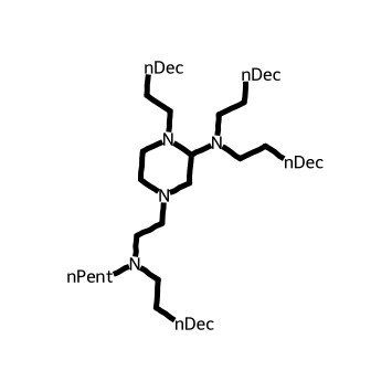 CCCCCCCCCCCCN(CCCCC)CCN1CCN(CCCCCCCCCCCC)C(N(CCCCCCCCCCCC)CCCCCCCCCCCC)C1